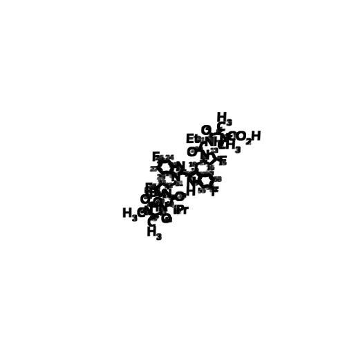 CC[C@H](NC(=O)[C@H](C)N(C)C(=O)O)C(=O)N1C[C@@H](F)C[C@H]1Cc1c(-c2nc3cc(F)ccc3n2C[C@@H]2C[C@H](F)CN2C(=O)[C@@H](NC(=O)[C@H](C)N(C)C(=O)OC(C)(C)C)C(C)C)[nH]c2cc(F)ccc12